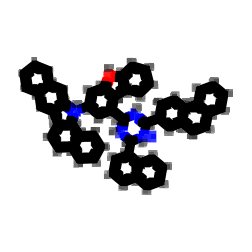 c1ccc2cc3c(cc2c1)c1ccc2ccccc2c1n3-c1cc(C2=NC(c3cccc4ccccc34)NC(c3ccc4c(ccc5ccccc54)c3)=N2)c2c(c1)oc1ccccc12